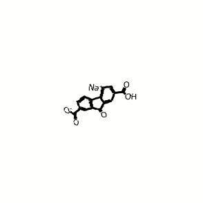 O=C([O-])c1ccc2c(c1)C(=O)c1cc(C(=O)O)ccc1-2.[Na+]